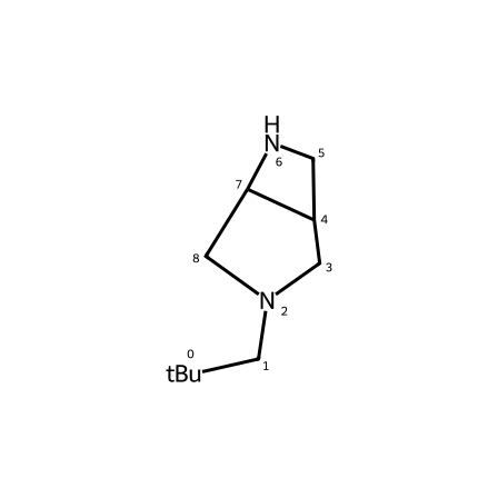 CC(C)(C)CN1CC2CNC2C1